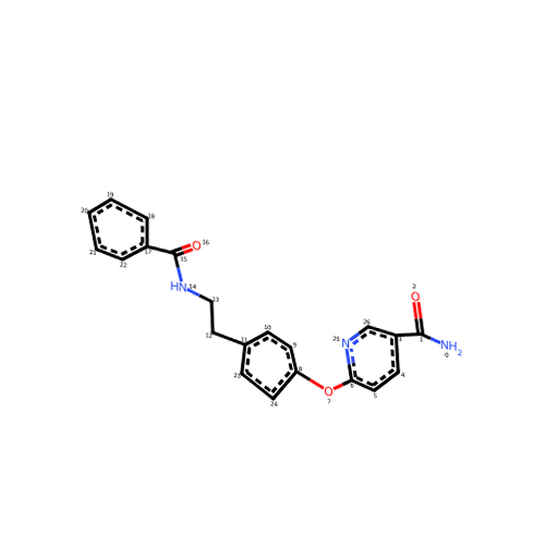 NC(=O)c1ccc(Oc2ccc(CCNC(=O)c3ccccc3)cc2)nc1